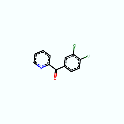 O=C(c1ccc(Cl)c(Cl)c1)c1ccccn1